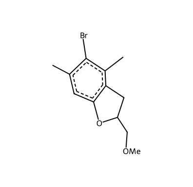 COCC1Cc2c(cc(C)c(Br)c2C)O1